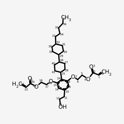 C=CC(=O)OCCOc1cc(CCO)cc(OCCOC(=O)C=C)c1C1CCC(C2CCC(CCCCC)CC2)CC1